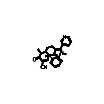 CC1C(=O)C(C#N)=C[C@]2(c3ccccc3)c3nn(C)c(-c4cccnc4)c3CCC12